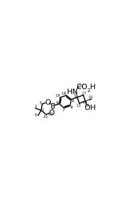 CC1(C)COB(c2ccc([C@]3(NC(=O)O)C[C@@](C)(O)C3)cc2)OC1